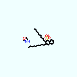 C1COCN1.CCCCCCCCCc1cc2ccccc2c(S(=O)(=O)O)c1CCCCCCCCC